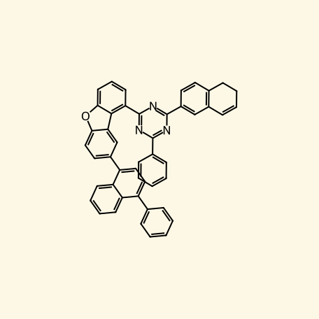 C1=Cc2cc(-c3nc(-c4ccccc4)nc(-c4cccc5oc6ccc(-c7ccc(-c8ccccc8)c8ccccc78)cc6c45)n3)ccc2CC1